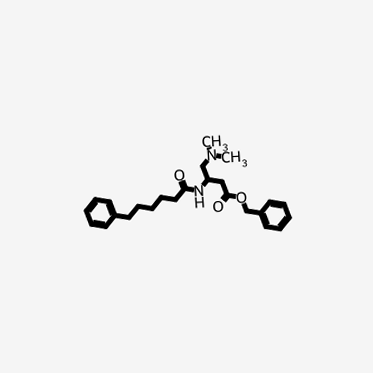 CN(C)CC(CC(=O)OCc1ccccc1)NC(=O)CCCCCc1ccccc1